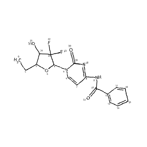 CCC1OC(n2ccc(NC(=O)c3ccccc3)nc2=O)C(F)(F)C1O